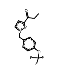 CCC(=O)c1ccn(Cc2ccc(OC(F)(F)F)cc2)n1